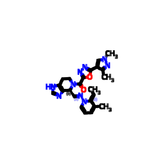 C/C=C1/C(C)=CC=CN1/N=C/[C@H]1c2nc[nH]c2CCN1C(=O)c1nnc(-c2cn(C)nc2C)o1